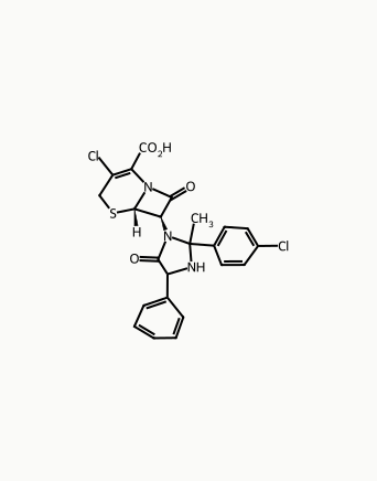 CC1(c2ccc(Cl)cc2)NC(c2ccccc2)C(=O)N1[C@@H]1C(=O)N2C(C(=O)O)=C(Cl)CS[C@@H]12